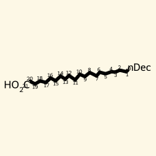 CCCCCCCCCCCCCCCCCCCCCCCCCCCCCCC(=O)O